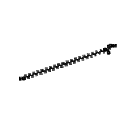 CCCCCCCCCCCC(=O)OCCCCCCCCCCCCCCCCCCCCCCCCCCCCCCCCCCCCCCO